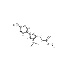 CCOC(=O)CCc1cn(-c2ccc(N)cn2)nc1C(C)C